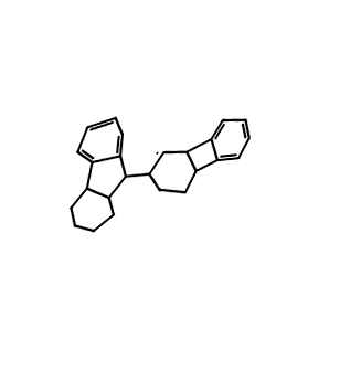 [CH]1C(C2c3ccccc3C3CCCCC32)CCC2c3ccccc3C12